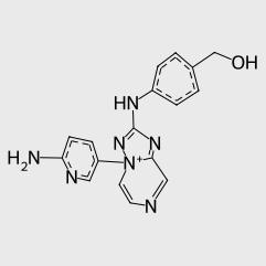 Nc1ccc([N+]23C=CN=CC2=NC(Nc2ccc(CO)cc2)=N3)cn1